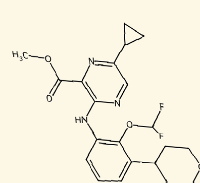 COC(=O)c1nc(C2CC2)cnc1Nc1cccc(C2CCOCC2)c1OC(F)F